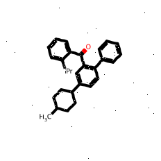 CC1CCC(c2ccc(-c3ccccc3)c(C(=O)c3ccccc3C(C)C)c2)CC1